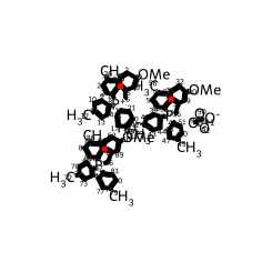 COc1cccc(C[P+](c2ccc(C)cc2)(c2ccc(C)cc2)c2ccc(C)cc2)c1.COc1cccc(C[P+](c2ccc(C)cc2)(c2ccc(C)cc2)c2ccc(C)cc2)c1.COc1cccc(C[P+](c2ccc(C)cc2)(c2ccc(C)cc2)c2ccc(C)cc2)c1.O=P([O-])([O-])[O-]